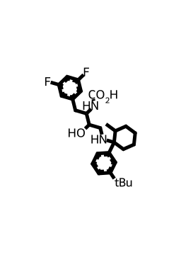 CC1CCCCC1(NCC(O)C(Cc1cc(F)cc(F)c1)NC(=O)O)c1cccc(C(C)(C)C)c1